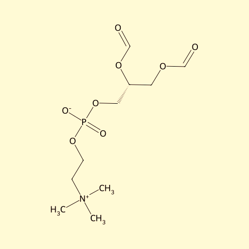 C[N+](C)(C)CCOP(=O)([O-])OC[C@@H](COC=O)OC=O